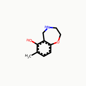 Cc1ccc2c(c1O)CNCCO2